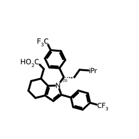 CC(C)CC[C@@H](c1ccc(C(F)(F)F)cc1)n1c(-c2ccc(C(F)(F)F)cc2)cc2c1C(CC(=O)O)CCC2